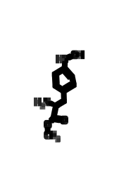 COC(=O)[C@@H](N)Cc1ccc(BO)cc1